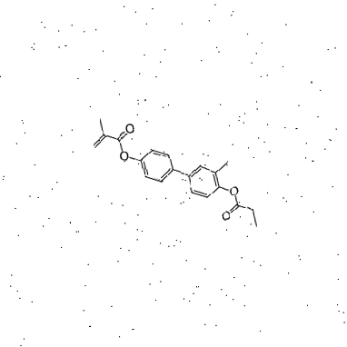 C=C(C)C(=O)Oc1ccc(-c2ccc(OC(=O)CC)c(C)c2)cc1